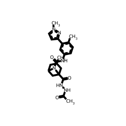 CC(=O)NNC(=O)C12CC(C)CC(C1)N2C(=O)Nc1ccc(C)c(-c2ccn(C)n2)c1